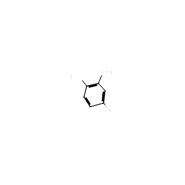 CCCCc1cc(N)ccc1C=O